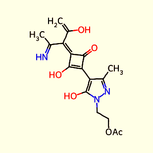 C=C(O)/C(C(C)=N)=C1\C(=O)C(c2c(C)nn(CCOC(C)=O)c2O)=C1O